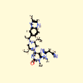 CC[C@H]1CN(C(C)c2ccc3ncc(C)nc3c2)[C@H](CC)CN1c1nc(=O)n(C)c2c1nc(CC#N)n2C